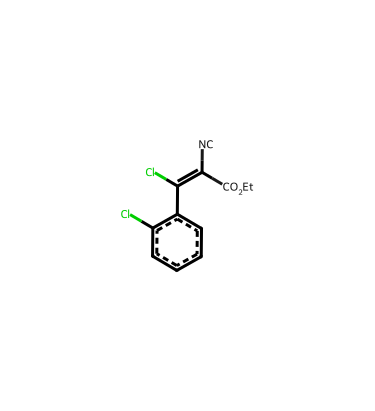 [C-]#[N+]/C(C(=O)OCC)=C(\Cl)c1ccccc1Cl